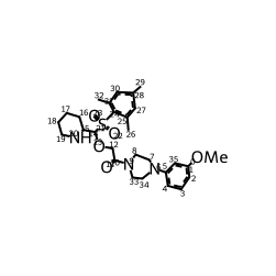 COc1cccc(N2CCN(C(=O)COC(C3CCCCN3)S(=O)(=O)c3c(C)cc(C)cc3C)CC2)c1